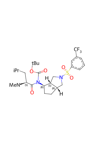 CN[C@@H](CC(C)C)C(=O)N(C(=O)OC(C)(C)C)[C@@H]1CC[C@H]2CN(S(=O)(=O)c3cccc(C(F)(F)F)c3)C[C@H]21